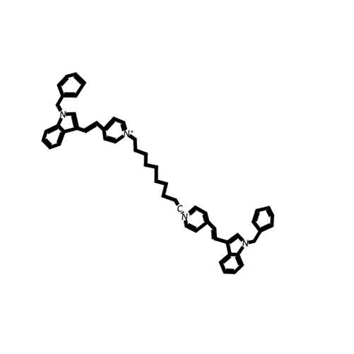 C(=C\c1cn(Cc2ccccc2)c2ccccc12)/c1cc[n+](CCCCCCCCCC[n+]2ccc(/C=C/c3cn(Cc4ccccc4)c4ccccc34)cc2)cc1